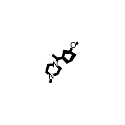 [CH2]C(c1cccc(OC)c1)N1CCN(C)CC1